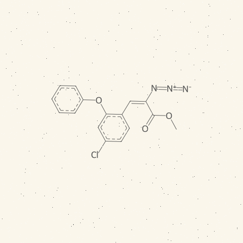 COC(=O)/C(=C\c1ccc(Cl)cc1Oc1ccccc1)N=[N+]=[N-]